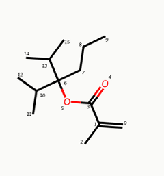 C=C(C)C(=O)OC(CCC)(C(C)C)C(C)C